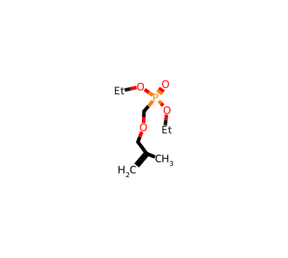 C=C(C)COCP(=O)(OCC)OCC